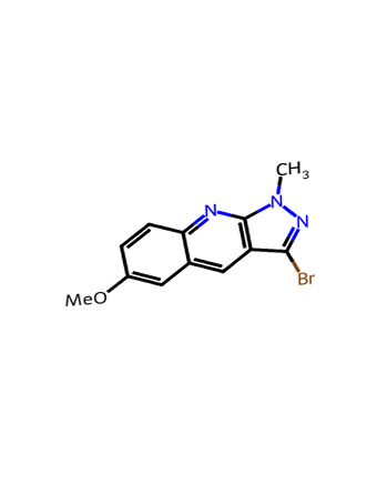 COc1ccc2nc3c(cc2c1)c(Br)nn3C